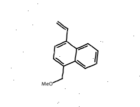 C=Cc1ccc(COC)c2ccccc12